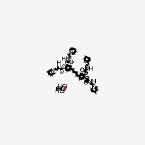 Cl.Cl.Cl.Cl.O=C(NCCN1CCCCC1)Oc1ccc(CCCCc2ccc(OC(=O)NCCN3CCCCC3)c(OC(=O)NCCN3CCCCC3)c2)cc1OC(=O)NCCN1CCCCC1